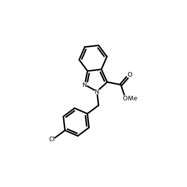 COC(=O)c1c2ccccc2nn1Cc1ccc(Cl)cc1